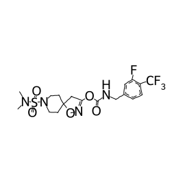 CN(C)S(=O)(=O)N1CCC2(CC1)CC(OC(=O)NCc1ccc(C(F)(F)F)c(F)c1)=NO2